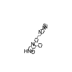 O=c1[nH]ccc2nc(-c3ccc(CCc4ccc(-n5cccn5)cn4)cc3)c(-c3ccccc3)cc12